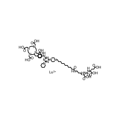 O=C(O)CC[C@H](NC(=O)N[C@@H](CCCCNC(=O)CCCCCCCCCCN1CCN(c2nc(Nc3ccc(CC4CN(CC(=O)O)CCN(CC(=O)O)CCN(CC(=O)O)CCN4CC(=O)O)cc3)nc(N3CCCCC3)n2)CC1)C(=O)O)C(=O)O.[Lu+3]